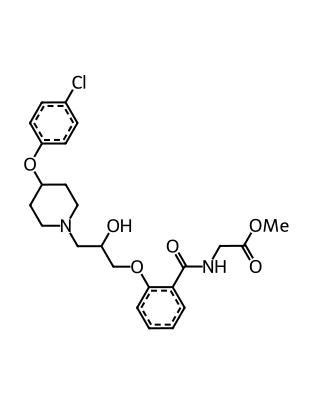 COC(=O)CNC(=O)c1ccccc1OCC(O)CN1CCC(Oc2ccc(Cl)cc2)CC1